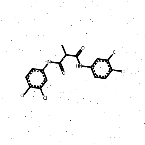 CC(C(=O)Nc1ccc(Cl)c(Cl)c1)C(=O)Nc1ccc(Cl)c(Cl)c1